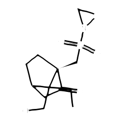 O=C1CC2CC[C@@]1(CS(=O)(=O)N1CO1)C2(CCl)CCl